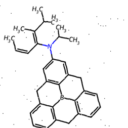 C/C=C\C(=C(/C)C(C)C)N(c1cc2c3c(c1)Cc1cccc4c1B3c1c(cccc1C2)C4)C(C)C